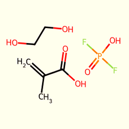 C=C(C)C(=O)O.O=P(O)(F)F.OCCO